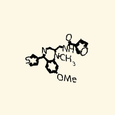 COc1ccc2c(c1)N(C)C(CNC(=O)c1ccoc1)CN=C2c1ccsc1